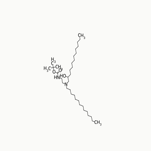 CCCCCCCCCCCCCCN(CCNC(=O)OC(C)(C)C)CC(O)CCCCCCCCCCCC